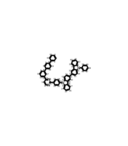 c1ccc(-c2ccc(-c3cccc(-c4ccnc(-c5ccc(-n6c7ccccc7c7cc(-c8ccc9c(c8)c8ccccc8n9-c8ccccc8)ccc76)cc5)n4)c3)cc2)cc1